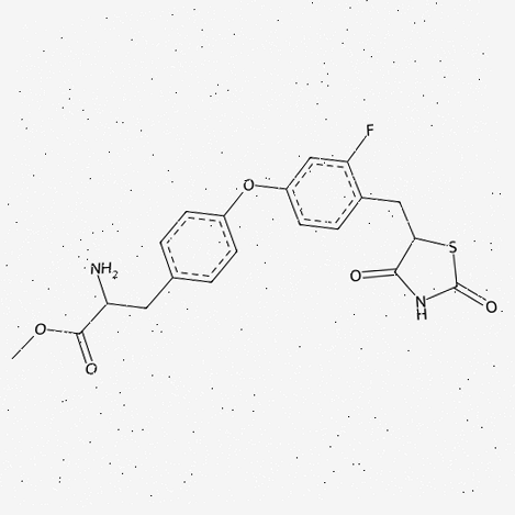 COC(=O)C(N)Cc1ccc(Oc2ccc(CC3SC(=O)NC3=O)c(F)c2)cc1